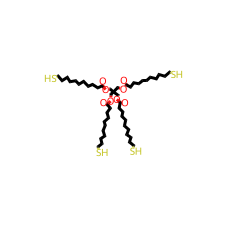 O=C(CCCCCCCCCCS)OCC(COC(=O)CCCCCCCCCCS)(COC(=O)CCCCCCCCCCS)COC(=O)CCCCCCCCCCS